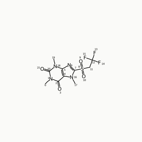 Cn1c(=O)c2c(nc(S(=O)(=O)CC(F)(F)F)n2C)n(C)c1=O